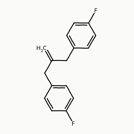 C=C(Cc1ccc(F)cc1)Cc1ccc(F)cc1